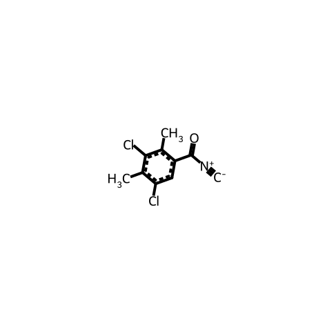 [C-]#[N+]C(=O)c1cc(Cl)c(C)c(Cl)c1C